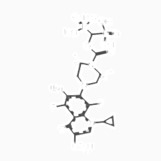 C[C@@H]1CN(c2c(C(C)(C)C)c(F)c3c(=O)c(C(=O)O)cn(C4CC4)c3c2F)C[C@H](C)N1C(=O)OC(P(=O)(O)O)P(=O)(O)O